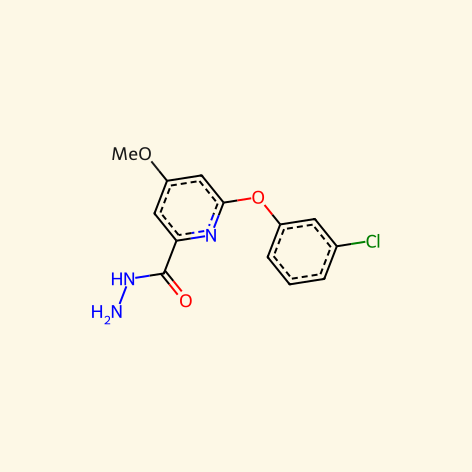 COc1cc(Oc2cccc(Cl)c2)nc(C(=O)NN)c1